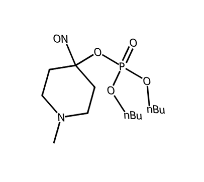 CCCCOP(=O)(OCCCC)OC1(N=O)CCN(C)CC1